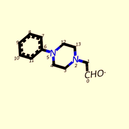 O=[C]CN1CCN(c2ccccc2)CC1